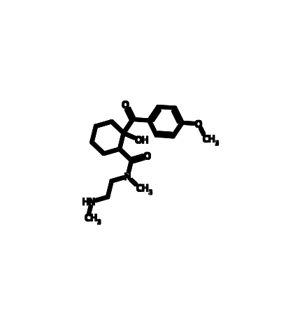 CNCCN(C)C(=O)C1CCCCC1(O)C(=O)c1ccc(OC)cc1